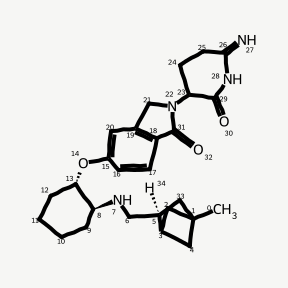 CC12CC(C1)[C@@H](CN[C@H]1CCCC[C@@H]1Oc1ccc3c(c1)CN(C1CCC(=N)NC1=O)C3=O)C2